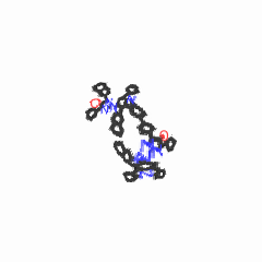 c1ccc2cc(-c3nc(-n4c5cc6ccccc6cc5c5c6c7cc(-c8ccc(-c9nc(-n%10c%11cc%12ccccc%12cc%11c%11c%12c%13ccccc%13n%13c%14ccccc%14c(cc%11%10)c%12%13)nc%10c9oc9ccccc9%10)cc8)ccc7n7c8ccccc8c(cc54)c67)nc4c3oc3ccccc34)ccc2c1